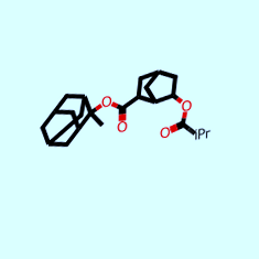 CC(C)C(=O)OC1CC2CC(C(=O)OC3(C)C4CC5CC(C4)CC3C5)C1C2